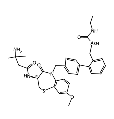 CCNC(=O)[AsH]Cc1ccccc1-c1ccc(CN2C(=O)[C@H](NC(=O)CC(C)(C)N)CSc3cc(OC)ccc32)cc1